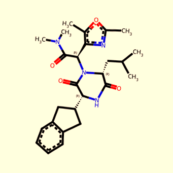 Cc1nc([C@H](C(=O)N(C)C)N2C(=O)[C@@H](C3Cc4ccccc4C3)NC(=O)[C@H]2CC(C)C)c(C)o1